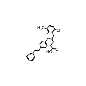 Cc1ccc(Cl)c(CN(CCC(=O)O)Cc2ccc(C=Cc3ccccc3)cc2)c1F